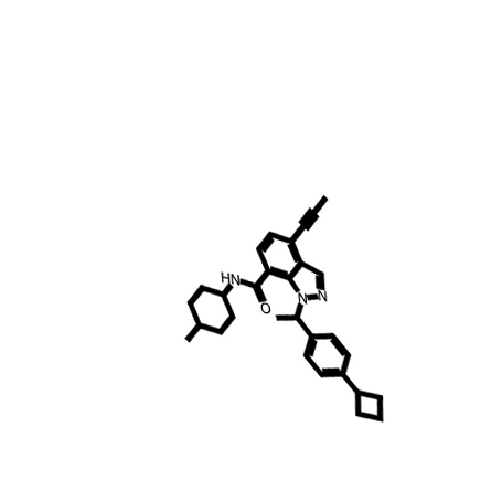 CC#Cc1ccc(C(=O)NC2CCC(C)CC2)c2c1cnn2C(C)c1ccc(C2CCC2)cc1